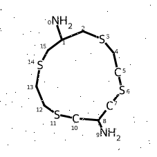 NC1CSCCSCC(N)CSCCSC1